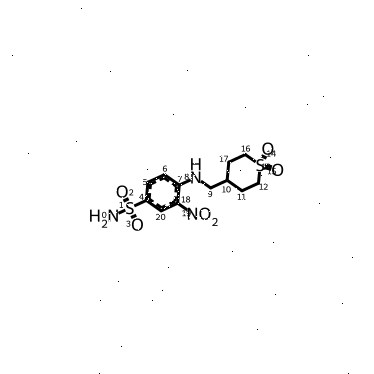 NS(=O)(=O)c1ccc(NCC2CCS(=O)(=O)CC2)c([N+](=O)[O-])c1